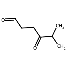 [CH2]C(C)C(=O)CCC=O